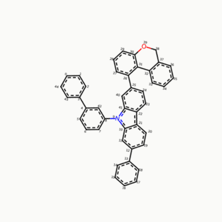 c1ccc(-c2cccc(-n3c4cc(-c5ccccc5)ccc4c4ccc(-c5cccc6c5-c5ccccc5CO6)cc43)c2)cc1